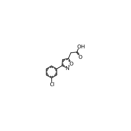 O=C(O)Cc1cc(-c2cccc(Cl)c2)no1